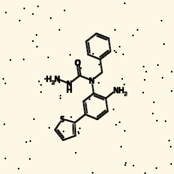 NNC(=O)N(Cc1ccccc1)c1cc(-c2cccs2)ccc1N